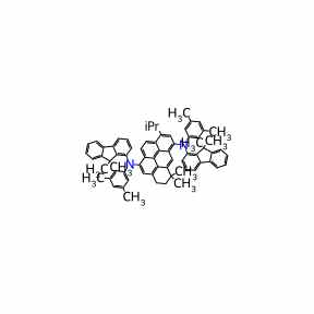 Cc1cc(C)cc(N(c2cccc3c2C(C)(C)c2ccccc2-3)c2cc(C(C)C)c3ccc4c(N(c5cc(C)cc(C)c5)c5cccc6c5C(C)(C)c5ccccc5-6)cc5c6c(cc2c3c46)C(C)(C)CC5)c1